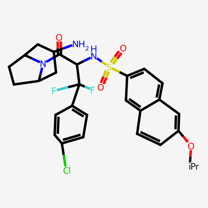 CC(C)Oc1ccc2cc(S(=O)(=O)NC(C(=O)N3C4CCC3CC(N)C4)C(F)(F)c3ccc(Cl)cc3)ccc2c1